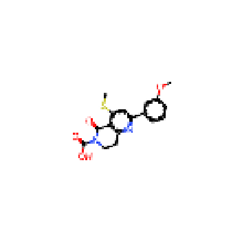 COc1cccc(-c2cc(SC)c3c(n2)CCN(C(=O)O)C3=O)c1